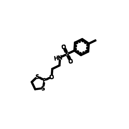 Cc1ccc(S(=O)(=O)NCCOP2SCCS2)cc1